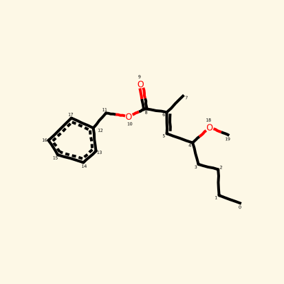 CCCCC(C=C(C)C(=O)OCc1ccccc1)OC